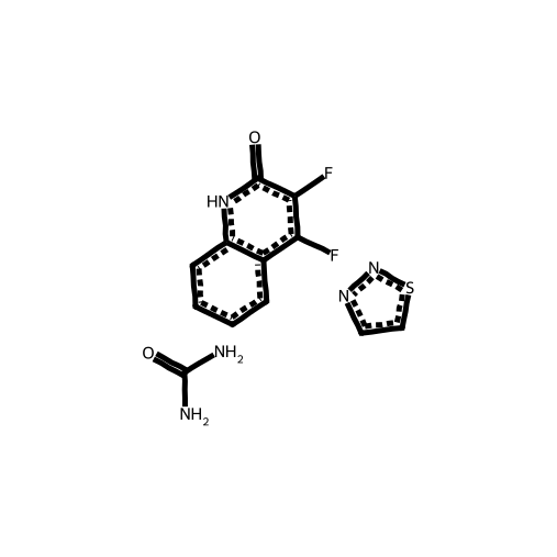 NC(N)=O.O=c1[nH]c2ccccc2c(F)c1F.c1csnn1